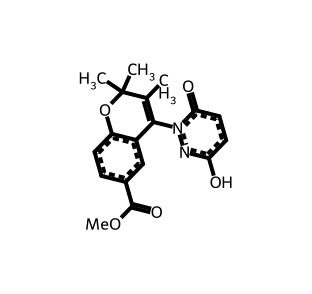 COC(=O)c1ccc2c(c1)C(n1nc(O)ccc1=O)=C(C)C(C)(C)O2